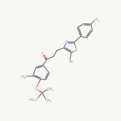 Cc1cc(C(=O)CCc2nc(-c3ccc(C(F)(F)F)cc3)sc2C(C)C)ccc1OC(C)(C)C(=O)O